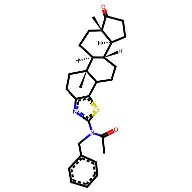 CC(=O)N(Cc1ccccc1)c1nc2c(s1)C1CC[C@@H]3[C@H](CC[C@]4(C)C(=O)CC[C@@H]34)[C@@]1(C)CC2